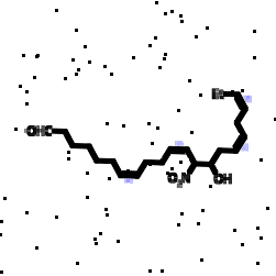 CC/C=C\C/C=C\CC(O)C(/C=C\CC/C=C\CCCCC[C]=O)[N+](=O)[O-]